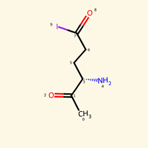 CC(=O)[C@@H](N)CCC(=O)I